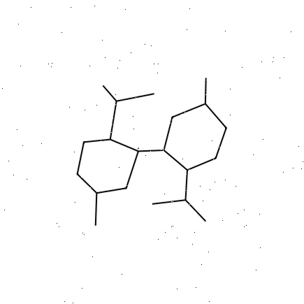 CC1CCC(C(C)C)[C](C2CC(C)CCC2C(C)C)C1